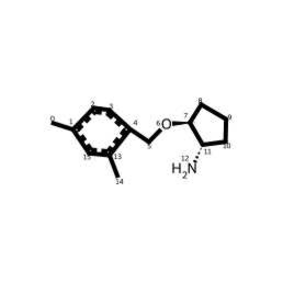 Cc1ccc(CO[C@H]2CCC[C@@H]2N)c(C)c1